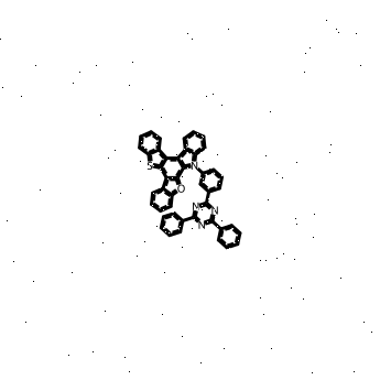 c1ccc(-c2nc(-c3ccccc3)nc(-c3cccc(-n4c5ccccc5c5c6c7ccccc7sc6c6c7ccccc7oc6c54)c3)n2)cc1